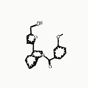 COc1cccc(C(=O)n2cc(-c3ccc(CO)o3)c3ccccc32)c1